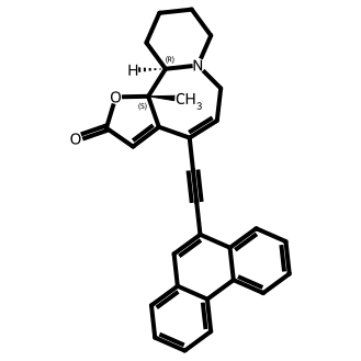 C[C@]12OC(=O)C=C1C(C#Cc1cc3ccccc3c3ccccc13)=CCN1CCCC[C@@H]12